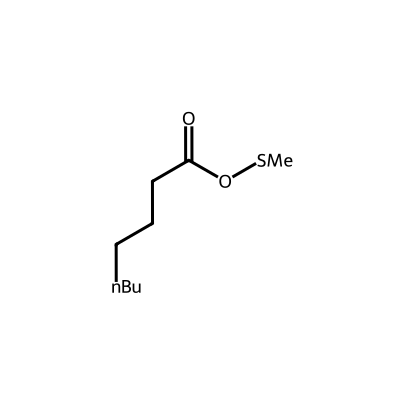 CCCCCCCC(=O)OSC